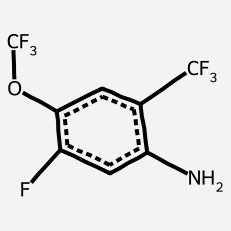 Nc1cc(F)c(OC(F)(F)F)cc1C(F)(F)F